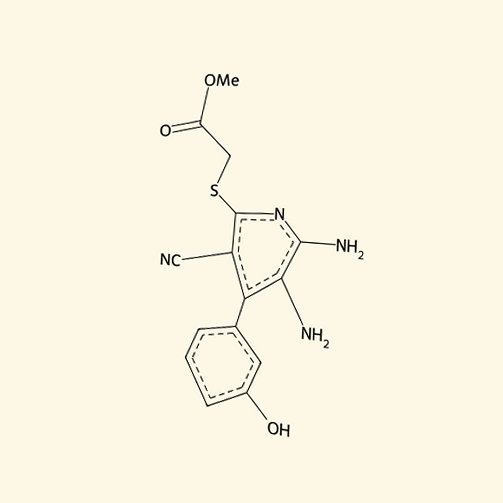 COC(=O)CSc1nc(N)c(N)c(-c2cccc(O)c2)c1C#N